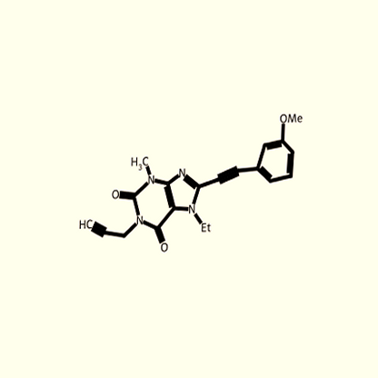 C#CCn1c(=O)c2c(nc(C#Cc3cccc(OC)c3)n2CC)n(C)c1=O